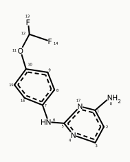 Nc1ccnc(Nc2ccc(OC(F)F)cc2)n1